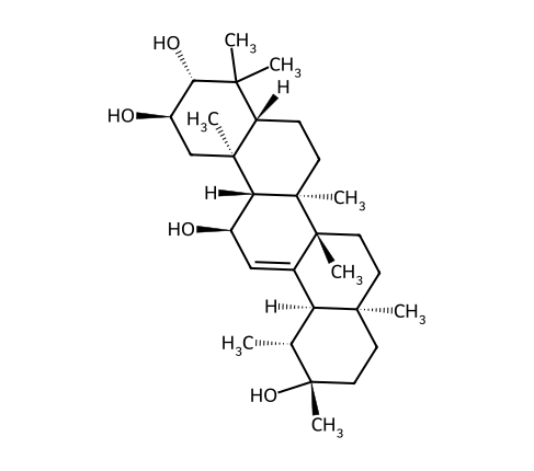 C[C@@H]1[C@H]2C3=C[C@@H](O)[C@@H]4[C@@]5(C)C[C@@H](O)[C@H](O)C(C)(C)[C@@H]5CC[C@@]4(C)[C@]3(C)CC[C@@]2(C)CC[C@]1(C)O